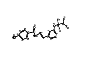 O=C(N/N=C/c1cccc(OC(F)(F)C(F)F)c1)c1ccc(O)cc1